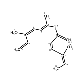 C=C/C(C)=C\C=C(/C)OC(=C)/C=C\C(C)=C/C